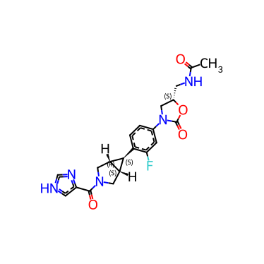 CC(=O)NC[C@H]1CN(c2ccc([C@H]3[C@@H]4CN(C(=O)c5c[nH]cn5)C[C@@H]43)c(F)c2)C(=O)O1